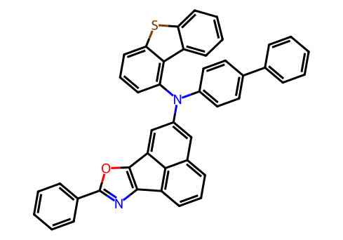 c1ccc(-c2ccc(N(c3cc4c5c(cccc5c3)-c3nc(-c5ccccc5)oc3-4)c3cccc4sc5ccccc5c34)cc2)cc1